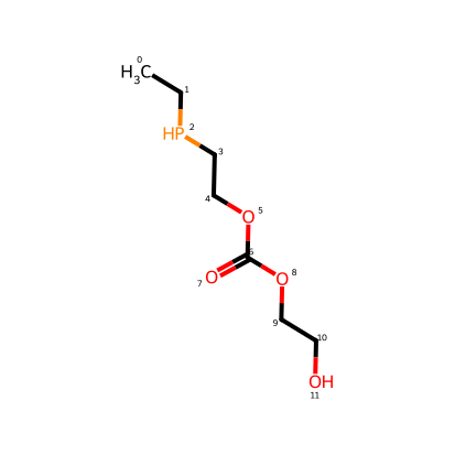 CCPCCOC(=O)OCCO